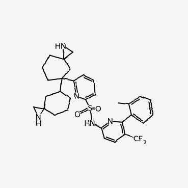 Cc1ccccc1-c1nc(NS(=O)(=O)c2cccc(C3(C4CCCC5(CN5)C4)CCCC4(CN4)C3)n2)ccc1C(F)(F)F